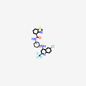 O=C(N[C@@H]1CCC[C@H](Nc2cc(C(F)(F)F)nc3ccc(Cl)cc23)C1)c1cccc2scnc12